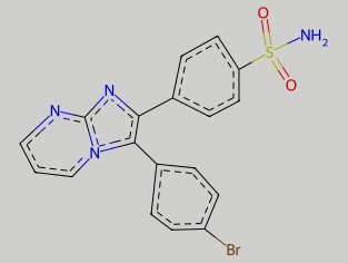 NS(=O)(=O)c1ccc(-c2nc3ncccn3c2-c2ccc(Br)cc2)cc1